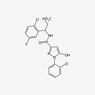 O=C(O)CC(NC(=O)c1cc(O)n(-c2ccccc2Cl)n1)c1cc(F)ccc1Cl